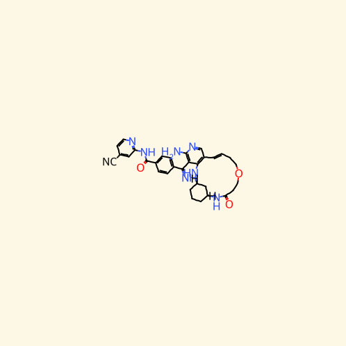 N#Cc1ccnc(NC(=O)c2ccc(C(=N)c3c(N)ncc4c3N[C@@H]3CCC[C@H](C3)NC(=O)CCOCC/C=C/4)cc2)c1